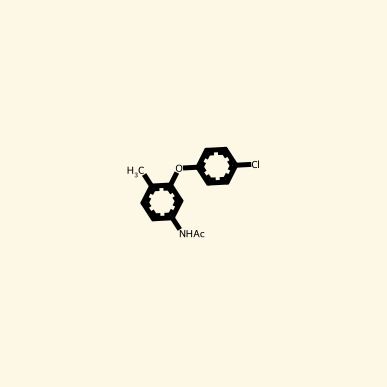 CC(=O)Nc1ccc(C)c(Oc2ccc(Cl)cc2)c1